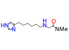 CNC(=O)CNCCCCCCc1c[nH]cn1